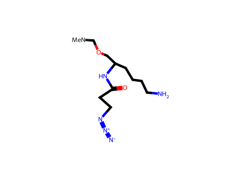 CNCOCC(CCCCN)NC(=O)CCN=[N+]=[N-]